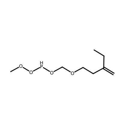 C=C(CC)CCOCOPOOC